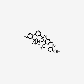 CN(Cc1cc(C(F)(F)F)c2oc(-c3cccc(-c4ccc(F)cc4-c4nncn4C)c3)nc2c1)[C@@H]1CCC[C@@H]1O